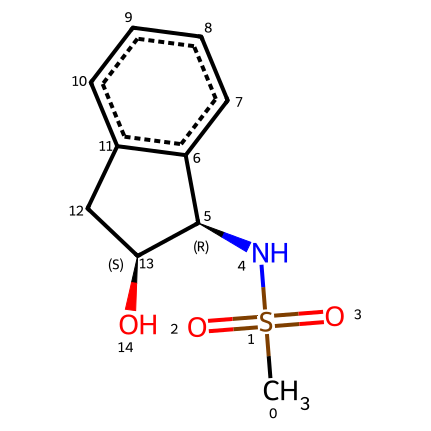 CS(=O)(=O)N[C@@H]1c2ccccc2C[C@@H]1O